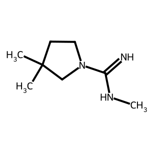 CNC(=N)N1CCC(C)(C)C1